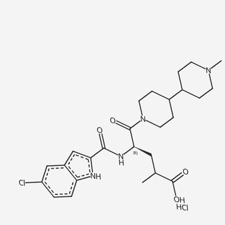 CC(C[C@@H](NC(=O)c1cc2cc(Cl)ccc2[nH]1)C(=O)N1CCC(C2CCN(C)CC2)CC1)C(=O)O.Cl